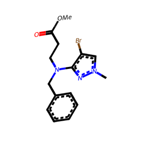 COC(=O)CCN(Cc1ccccc1)c1nn(C)cc1Br